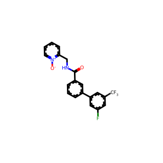 O=C(NCc1cccc[n+]1[O-])c1cccc(-c2cc(F)cc(C(F)(F)F)c2)c1